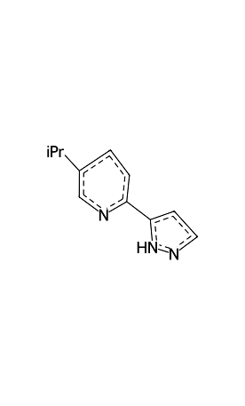 CC(C)c1ccc(-c2ccn[nH]2)nc1